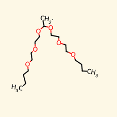 [CH2]C(OCCOCCOCCCC)OCCOCCOCCCC